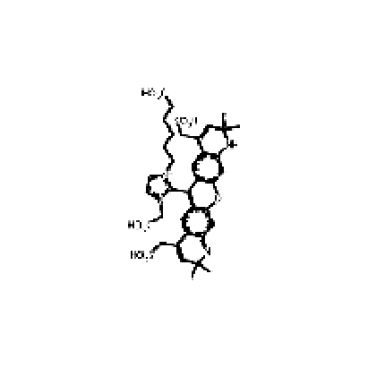 CC1(C)C=C(CS(=O)(=O)O)c2cc3c(cc2=N1)Oc1cc2c(cc1C=3c1n(CC(=O)O)cc[n+]1CCCCCC(=O)O)C(CS(=O)(=O)O)=CC(C)(C)N2